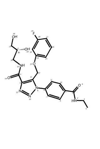 CCNC(=O)c1ccc(-n2nnc(C(=O)NC[C@@H](O)CO)c2COc2cccc(F)c2)cc1